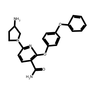 NC(=O)c1ccc(N2CCC(N)C2)nc1Oc1ccc(Oc2ccccc2)cc1